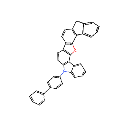 c1ccc(-c2ccc(-n3c4ccccc4c4c5oc6c7c(ccc6c5ccc43)Cc3ccccc3-7)cc2)cc1